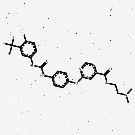 CN(C)CCNC(=O)c1cc(Oc2ccc(NC(=O)Nc3ccc(Cl)c(C(F)(F)F)c3)cc2)ncn1